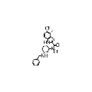 CCN(C(=O)c1nc2cc(C(F)(F)F)ccc2[nH]1)C1CCCC(NCc2ccccc2)C1